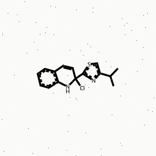 CC(C)c1csc(C2(Cl)C=[C]c3ccccc3N2)n1